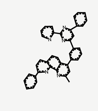 Cc1cc(-c2cccc(-c3cc(-c4ccccc4)nc(-c4ccccn4)n3)c2)c2ccc3ccc(-c4ccccc4)nc3c2n1